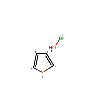 OBr.c1ccsc1